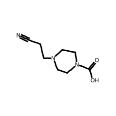 N#CCCN1CCN(C(=O)O)CC1